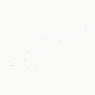 O=C1CCC(N2Cc3cc(N4CC5CN(CC6CCN(c7ccc([C@@H]8c9ccc(O)cc9OC[C@@H]8c8ccccc8)cc7)CC6)CC5C4)ccc3C2=O)C(=O)N1